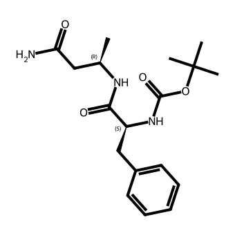 C[C@H](CC(N)=O)NC(=O)[C@H](Cc1ccccc1)NC(=O)OC(C)(C)C